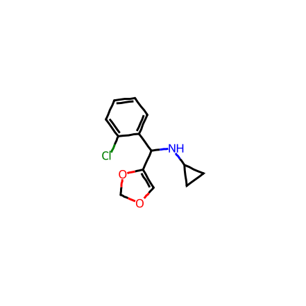 Clc1ccccc1C(NC1CC1)C1=COCO1